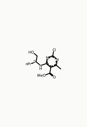 CCC[C@@H](CO)Nc1nc(Cl)nc(C)c1C(=O)OC